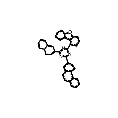 C1=CC2=CC(c3nc(-c4ccc5c(ccc6ccccc65)c4)nc(-c4cccc5oc6ccccc6c45)n3)=CCC2C=C1